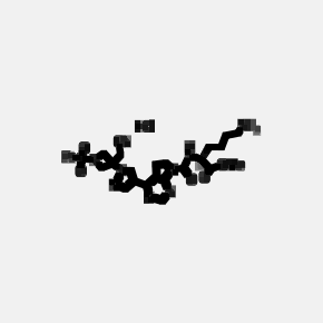 CCS(=O)(=O)N1CC(CC#N)(n2cc(-c3ncnc4c3ccn4C(=O)N[C@@H](CCCCN)C(=O)OC)cn2)C1.Cl